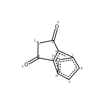 O=C1SC(=O)c2c1c1ccc2o1